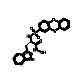 O=C(NO)[C@H](Cc1c[nH]c2ccccc12)NS(=O)(=O)c1ccc2c(c1)Sc1ccccc1O2